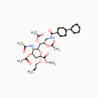 C=CCO[C@]1(C(=O)OC)C[C@@H](OC(C)=O)[C@@H](NC(C)=O)C([C@H](OC(C)=O)[C@@H](CNC(=O)c2ccc(-c3ccccc3)cc2)OC(C)=O)O1